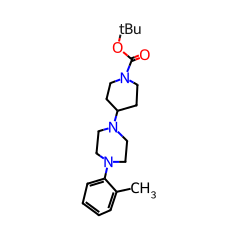 Cc1ccccc1N1CCN(C2CCN(C(=O)OC(C)(C)C)CC2)CC1